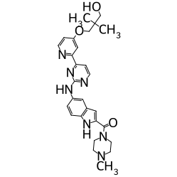 CN1CCN(C(=O)c2cc3cc(Nc4nccc(-c5cc(OCC(C)(C)CO)ccn5)n4)ccc3[nH]2)CC1